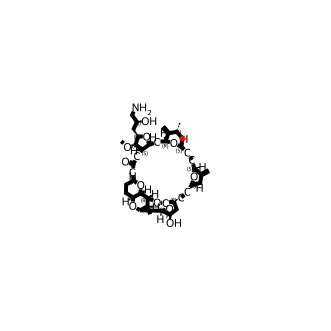 C=C1C[C@@H]2CC[C@@]34CO[C@H]5[C@H]6O[C@H](CC[C@@H]6OC([C@H]5C)[C@@H](O3)[C@H](O)C4)CC(=O)C[C@@H]3[C@@H](OC)[C@@H](C[C@H](O)CN)O[C@H]3C[C@H]3O[C@@H](CC[C@@H]1O2)C[C@@H](C)C3=C